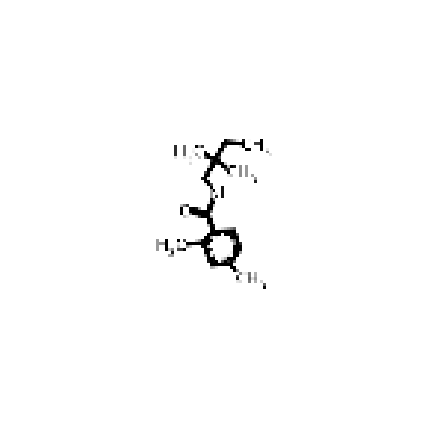 CCC(C)(C)CNC(=O)c1ccc(C)cc1C